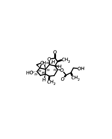 C=C(CO)C(=O)O[C@H]1CC(=C)[C@@H]2C[C@H](O)[C@@]3(CO3)[C@@H]2[C@H]2OC(=O)C(=C)[C@@H]21